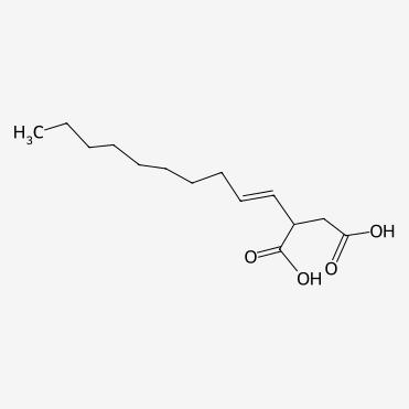 CCCCCCCCC=CC(CC(=O)O)C(=O)O